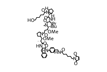 CC[C@H](C)[C@@H]([C@@H](CC(=O)N1CCCC1[C@H](OC)[C@@H](C)C(=O)NC(Cc1ccccc1)C(=O)Nc1ccc(CNC(=O)CCCCCN2C(=O)C=CC2=O)cc1)OC)N(C)C(=O)C(NC(=O)[C@@H]1[C@H]2CC[C@H](C2)N1C(=O)CCCCCO)C(C)C